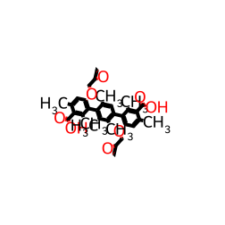 Cc1cc(OCC2CO2)c(-c2cc(C)c(-c3c(OCC4CO4)cc(C)c(C(=O)O)c3C)c(C)c2C)c(C)c1C(=O)O